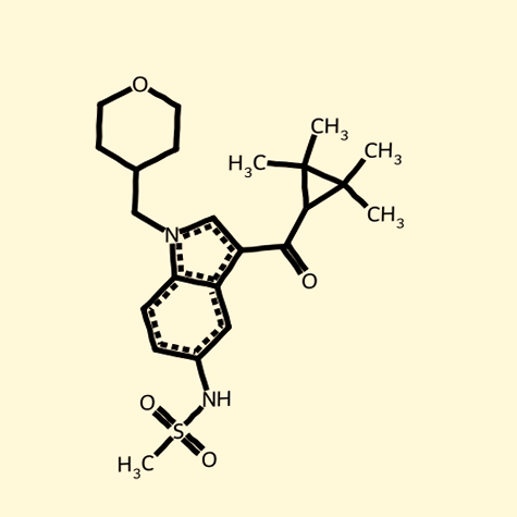 CC1(C)C(C(=O)c2cn(CC3CCOCC3)c3ccc(NS(C)(=O)=O)cc23)C1(C)C